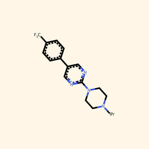 CC(C)N1CCN(c2ncc(-c3ccc(C(F)(F)F)cc3)cn2)CC1